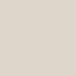 Cc1csc2[nH]c(=O)n(C3CN(C(=O)OC(C)(C)C)C3)c(=O)c12